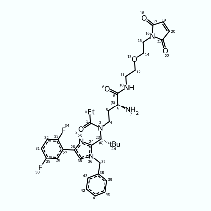 CCC(=O)N(CC[C@H](N)C(=O)NCCOCCN1C(=O)C=CC1=O)[C@@H](c1nc(-c2cc(F)ccc2F)cn1Cc1ccccc1)C(C)(C)C